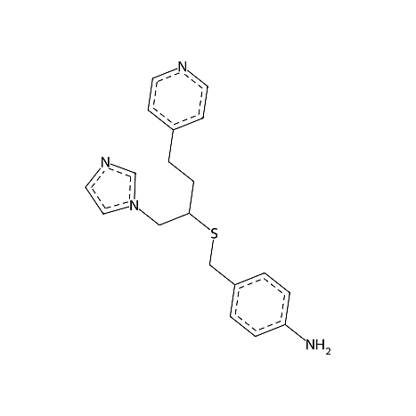 Nc1ccc(CSC(CCc2ccncc2)Cn2ccnc2)cc1